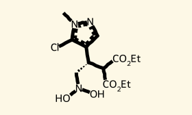 CCOC(=O)C(C(=O)OCC)[C@H](CN(O)O)c1cnn(C)c1Cl